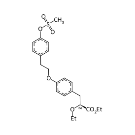 CCOC(=O)[C@H](Cc1ccc(OCCc2ccc(OS(C)(=O)=O)cc2)cc1)OCC